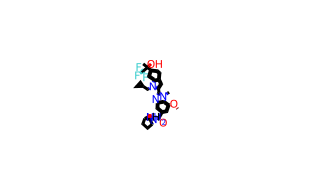 COc1cc(C(=O)N2CC3CCC2[C@@H]3N)cc2nc(-c3cc4ccc(C(C)(O)C(F)(F)F)cc4n3CC3CC3)n(C)c12